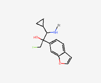 CCNC(C1CC1)C(O)(CF)c1ccc2ccoc2c1